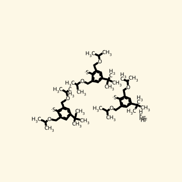 CC(C)OCc1cc(C(C)(C)C)cc(COC(C)C)c1[S].CC(C)OCc1cc(C(C)(C)C)cc(COC(C)C)c1[S].CC(C)OCc1cc(C(C)(C)C)cc(COC(C)C)c1[S].F.F.F